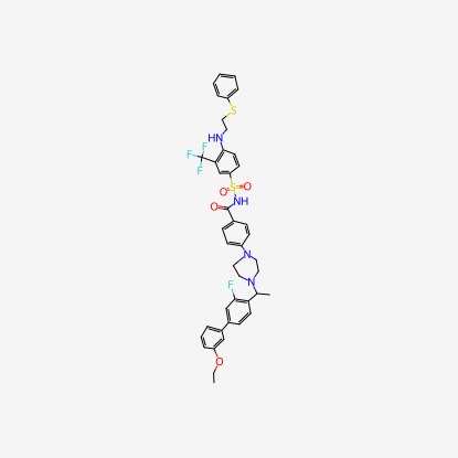 CCOc1cccc(-c2ccc(C(C)N3CCN(c4ccc(C(=O)NS(=O)(=O)c5ccc(NCCSc6ccccc6)c(C(F)(F)F)c5)cc4)CC3)c(F)c2)c1